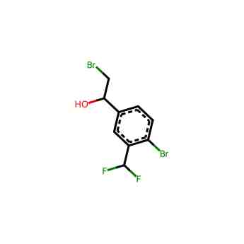 OC(CBr)c1ccc(Br)c(C(F)F)c1